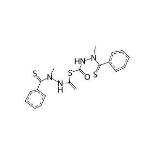 C=C(NN(C)C(=S)c1ccccc1)SC(=O)NN(C)C(=S)c1ccccc1